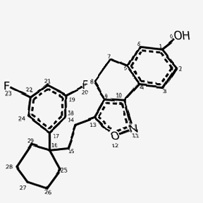 Oc1ccc2c(c1)CCc1c-2noc1CCC1(c2cc(F)cc(F)c2)CCCCC1